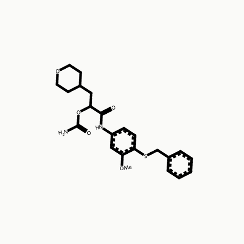 COc1cc(NC(=O)C(CC2CCOCC2)OC(N)=O)ccc1SCc1ccccc1